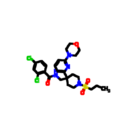 CCCS(=O)(=O)N1CCC(CNC(=O)c2ccc(Cl)cc2Cl)(c2cccc(N3CCOCC3)n2)CC1